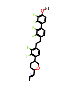 C/C=C/C1CCC(c2ccc(CCc3ccc(-c4ccc(OCC)c(F)c4F)c(F)c3F)c(F)c2F)CO1